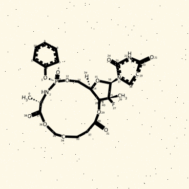 C[C@@H]1N[P@](=O)(Oc2ccccc2)OC[C@H]2O[C@@H](n3ccc(=O)[nH]c3=O)[C@](C)(F)[C@@H]2OC(=O)CCCCOC1=O